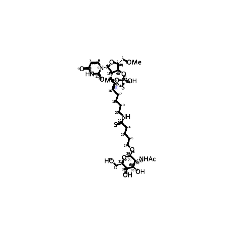 COC[C@H]1O[C@@H](n2ccc(=O)[nH]c2=O)[C@@H](C/C=C/CCCCNC(=S)CCCCO[C@@H]2O[C@H](CO)[C@H](O)[C@H](O)[C@H]2NC(C)=O)C1OP(O)(=S)OC